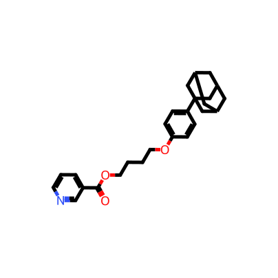 O=C(OCCCCOc1ccc(C23CC4CC(CC(C4)C2)C3)cc1)c1cccnc1